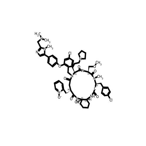 COC[C@@H]1NC(=O)[C@H](CCCN2CCCC2)N(Cc2ccc(Cl)cc2Oc2ccc(-c3cnc(CN(C)C)n3C)cc2)C(=O)C[C@@H](Cc2cccc[n+]2[O-])C(=O)N(C)[C@H]2CCCC[C@@H]2NC(=O)C[C@H](Cc2ccc(Cl)cc2)N(C)C1=O